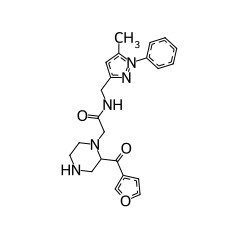 Cc1cc(CNC(=O)CN2CCNCC2C(=O)c2ccoc2)nn1-c1ccccc1